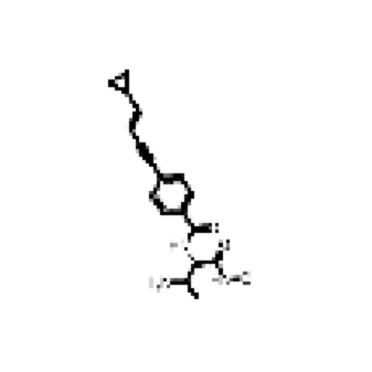 CC(N)[C@H](NC(=O)c1ccc(C#C/C=C/C2CC2)cc1)C(=O)NO